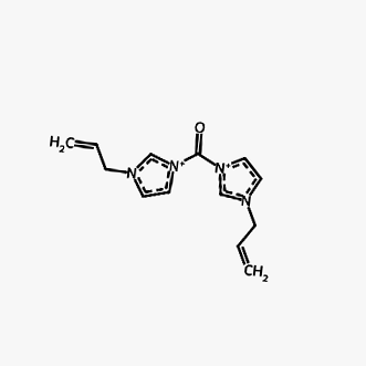 C=CCn1cc[n+](C(=O)[n+]2ccn(CC=C)c2)c1